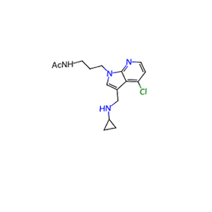 CC(=O)NCCCn1cc(CNC2CC2)c2c(Cl)ccnc21